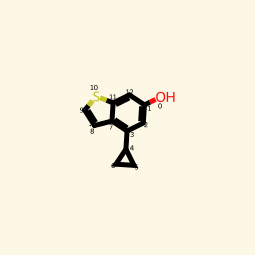 Oc1cc(C2CC2)c2[c]csc2c1